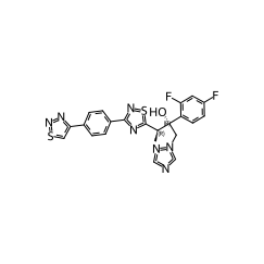 C[C@@H](c1nc(-c2ccc(-c3csnn3)cc2)ns1)[C@](O)(Cn1cncn1)c1ccc(F)cc1F